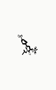 CC(C)Cn1nc(-c2ccc([S+](C)[O-])cc2)cc(COS(C)(=O)=O)c1=O